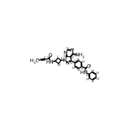 CC#CC(=O)NC1CC(n2nc(-c3ccc(C(=O)Nc4ccccc4)cc3)c3c(N)ncnc32)C1